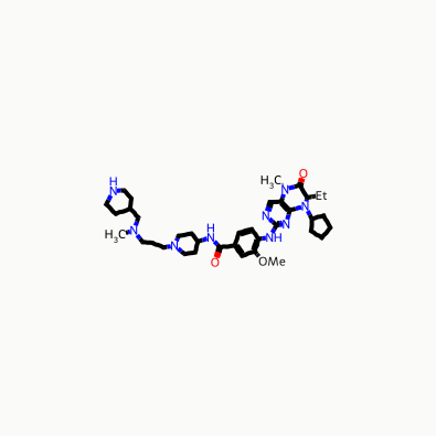 CCC1C(=O)N(C)c2cnc(Nc3ccc(C(=O)NC4CCN(CCCN(C)CC5CCNCC5)CC4)cc3OC)nc2N1C1CCCC1